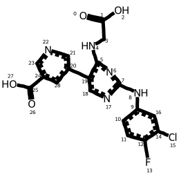 O=C(O)CNc1nc(Nc2ccc(F)c(Cl)c2)ncc1-c1cncc(C(=O)O)c1